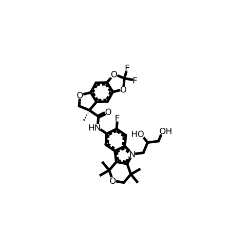 CC1(C)COC(C)(C)c2c1n(CC(O)CO)c1cc(F)c(NC(=O)[C@@]3(C)COc4cc5c(cc43)OC(F)(F)O5)cc21